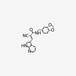 N#C/C(=C\c1c[nH]c2ncccc12)C(=O)NCc1ccc2c(c1)OCO2